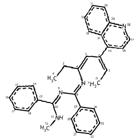 C\C=C(/C=C(CC)\N=C(/N=C(\NC)c1ccccc1)c1ccccc1)c1ccnc2ccccc12